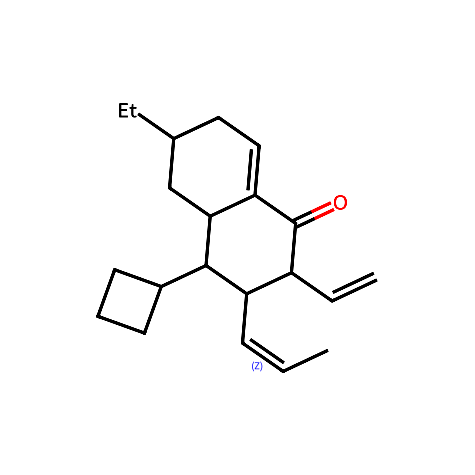 C=CC1C(=O)C2=CCC(CC)CC2C(C2CCC2)C1/C=C\C